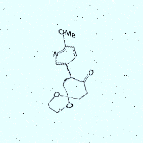 COc1ccc(C2CC3(CCC2=O)OCCO3)cn1